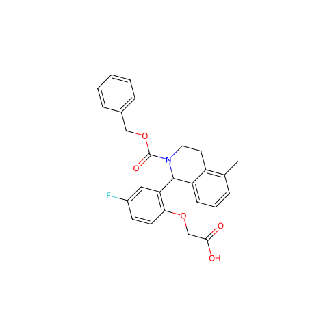 Cc1cccc2c1CCN(C(=O)OCc1ccccc1)C2c1cc(F)ccc1OCC(=O)O